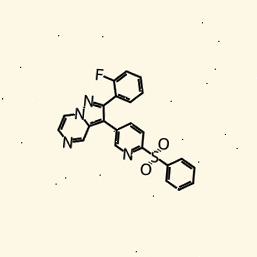 O=S(=O)(c1ccccc1)c1ccc(-c2c(-c3ccccc3F)nn3ccncc23)cn1